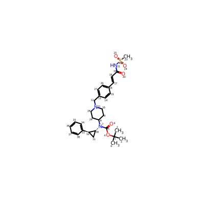 CC(C)(C)OC(=O)N(C1CCN(Cc2ccc(/C=C/C(=O)NS(C)(=O)=O)cc2)CC1)[C@@H]1C[C@H]1c1ccccc1